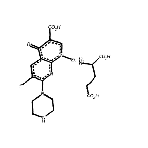 CCn1cc(C(=O)O)c(=O)c2cc(F)c(N3CCNCC3)nc21.NC(CCC(=O)O)C(=O)O